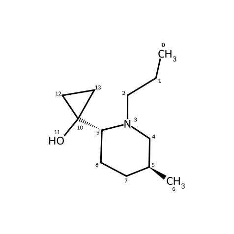 CCCN1C[C@@H](C)CC[C@@H]1C1(O)CC1